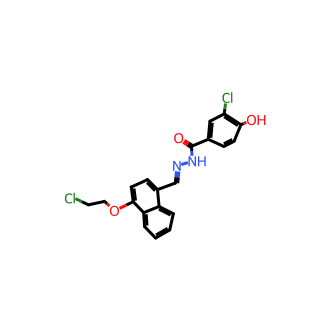 O=C(N/N=C/c1ccc(OCCCl)c2ccccc12)c1ccc(O)c(Cl)c1